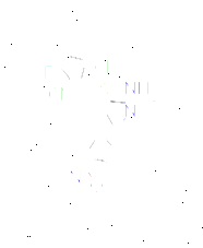 CC(Sc1cc(-c2ccc(C(=O)N(C)C)cc2)cnc1N)c1c(Cl)ccc(F)c1Cl